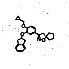 c1ccc2c(c1)CC(Oc1cc(C3=NOC4(CCCC4)C3)ccc1OCC1CC1)C2